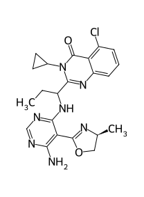 CCC(Nc1ncnc(N)c1C1=N[C@@H](C)CO1)c1nc2cccc(Cl)c2c(=O)n1C1CC1